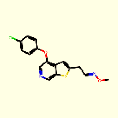 CON=CCc1cc2c(Oc3ccc(Cl)cc3)cncc2s1